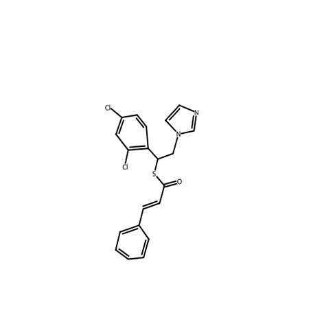 O=C(/C=C/c1ccccc1)SC(Cn1ccnc1)c1ccc(Cl)cc1Cl